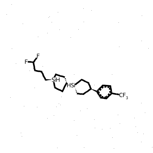 FC(F)CCC[Si@H]1CC[C@H]([Si@H]2CC[C@H](c3ccc(C(F)(F)F)cc3)CC2)CC1